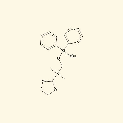 CC(C)(CO[Si](c1ccccc1)(c1ccccc1)C(C)(C)C)C1OCCO1